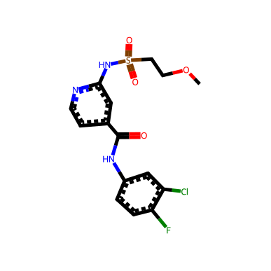 COCCS(=O)(=O)Nc1cc(C(=O)Nc2ccc(F)c(Cl)c2)ccn1